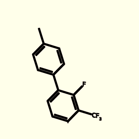 Cc1ccc(-c2cc[c]c(C(F)(F)F)c2F)cc1